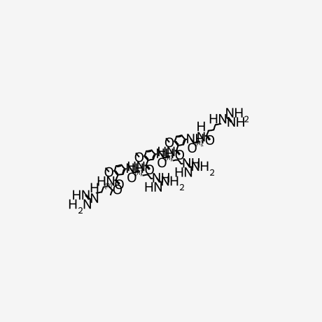 COc1ccc(NC(=O)[C@@H](CCCNC(=N)N)NC(=O)c2cc(NC(=O)[C@@H](CCCNC(=N)N)NC(=O)c3cc(NC(=O)[C@@H](C)NC(=O)CCCCNC(=N)N)ccc3OC)ccc2OC)cc1C(=O)N[C@H](CCCNC(=N)N)C(C)=O